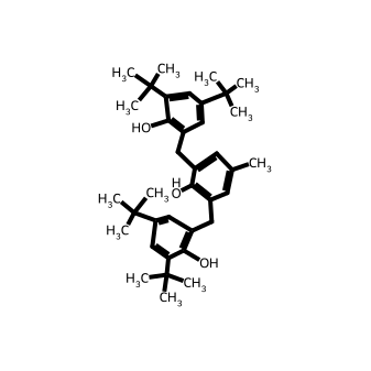 Cc1cc(Cc2cc(C(C)(C)C)cc(C(C)(C)C)c2O)c(O)c(Cc2cc(C(C)(C)C)cc(C(C)(C)C)c2O)c1